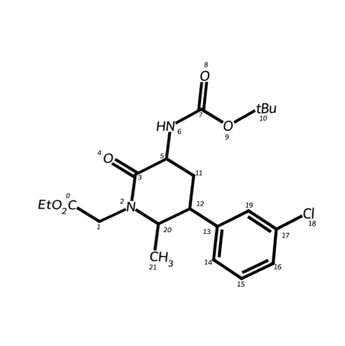 CCOC(=O)CN1C(=O)C(NC(=O)OC(C)(C)C)CC(c2cccc(Cl)c2)C1C